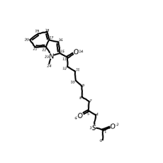 CC(=O)SCC(=O)CCCCCCC(=O)c1cc2ccccc2n1C